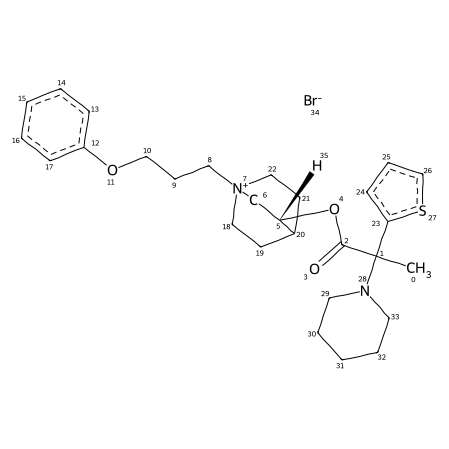 CC(C(=O)O[C@H]1C[N+]2(CCCOc3ccccc3)CCC1CC2)(c1cccs1)N1CCCCC1.[Br-]